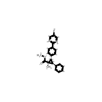 COC(=O)[C@]1(C)[C@H](c2ccccc2)[C@H]1c1ccc(-c2ncc(F)cn2)cc1